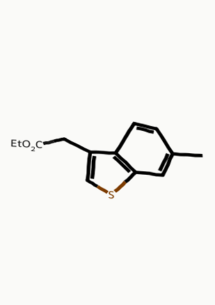 CCOC(=O)Cc1csc2cc(C)ccc12